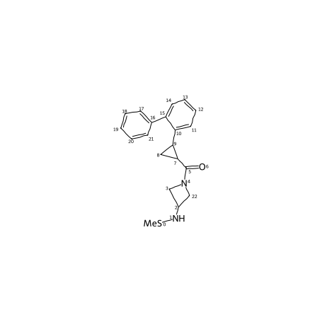 CSNC1CN(C(=O)C2CC2c2ccccc2-c2ccccc2)C1